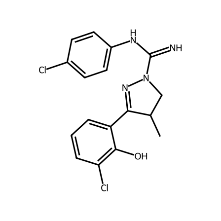 CC1CN(C(=N)Nc2ccc(Cl)cc2)N=C1c1cccc(Cl)c1O